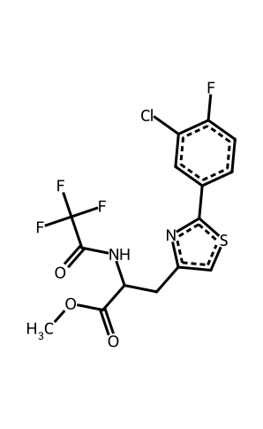 COC(=O)C(Cc1csc(-c2ccc(F)c(Cl)c2)n1)NC(=O)C(F)(F)F